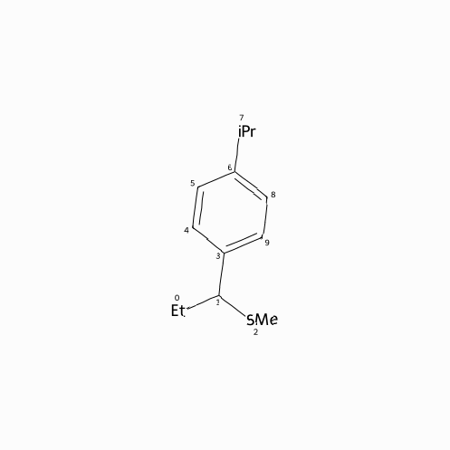 CCC(SC)c1ccc(C(C)C)cc1